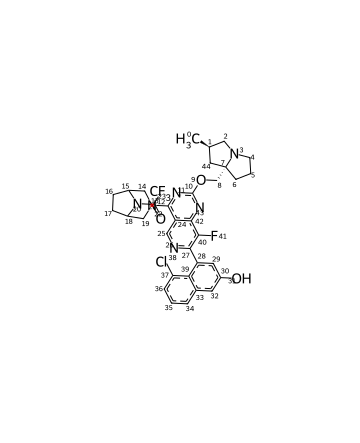 C[C@H]1CN2CCC[C@@]2(COc2nc(N3CC4CCC(C3)N4C(=O)C(F)(F)F)c3cnc(-c4cc(O)cc5cccc(Cl)c45)c(F)c3n2)C1